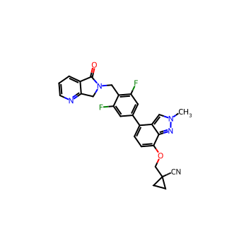 Cn1cc2c(-c3cc(F)c(CN4Cc5ncccc5C4=O)c(F)c3)ccc(OCC3(C#N)CC3)c2n1